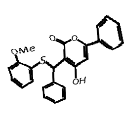 COc1ccccc1SC(c1ccccc1)c1c(O)cc(-c2ccccc2)oc1=O